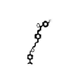 C=C(C)c1ccc(COCCCCc2ccc(/C=C/C(=O)c3ccc(F)cc3)cc2)cc1